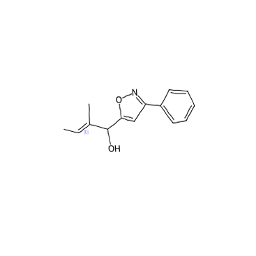 C/C=C(\C)C(O)c1cc(-c2ccccc2)no1